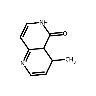 CC1C=CN=C2C=CNC(=O)C21